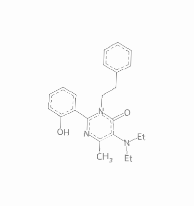 CCN(CC)c1c(C)nc(-c2ccccc2O)n(CCc2ccccc2)c1=O